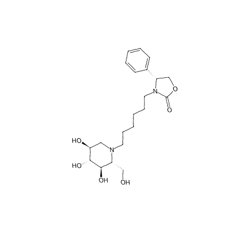 O=C1OC[C@@H](c2ccccc2)N1CCCCCCN1C[C@H](O)[C@@H](O)[C@H](O)[C@H]1CO